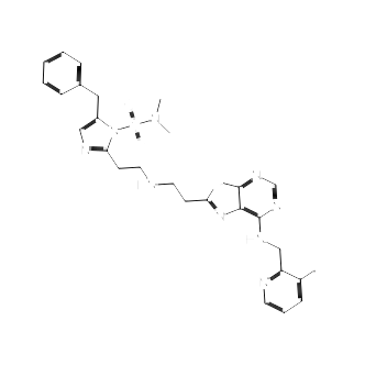 CN(C)S(=O)(=O)n1c(Cc2ccccc2)cnc1CCNCCc1nc2c(NCc3ncccc3F)ncnc2s1